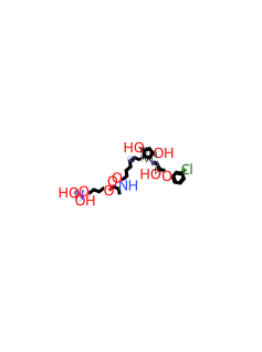 CC(NC(=O)CCC/C=C\C[C@@H]1[C@@H](/C=C/[C@@H](O)COc2cccc(Cl)c2)[C@H](O)C[C@@H]1O)C(=O)OCCCCON(O)O